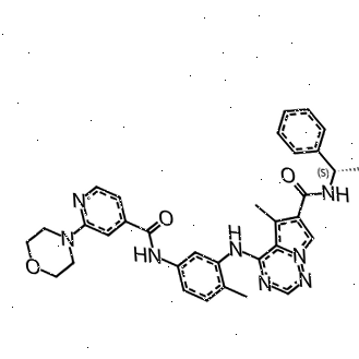 Cc1ccc(NC(=O)c2ccnc(N3CCOCC3)c2)cc1Nc1ncnn2cc(C(=O)N[C@@H](C)c3ccccc3)c(C)c12